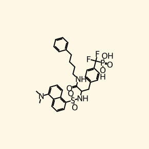 CN(C)c1cccc2c(S(=O)(=O)NC(Cc3ccc(C(F)(F)P(=O)(O)O)cc3)C(=O)NCCCCc3ccccc3)cccc12